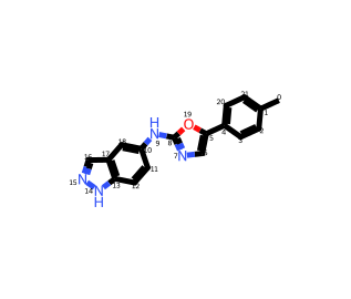 Cc1ccc(-c2cnc(Nc3ccc4[nH]ncc4c3)o2)cc1